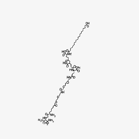 CC(C)[C@H](NCC(=O)[C@@H](N)CCCCCC(=O)COCCOCCNC(=O)COCCOCCNC(=O)CC[C@H](NC(=O)CC[C@H](CC(=O)CC[C@H](NC(=O)CCCCCCCCCCCCCCCCCCC(=O)O)C(=O)O)C(=O)O)C(=O)O)C(N)=O